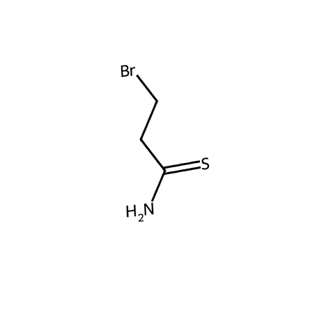 NC(=S)CCBr